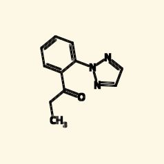 CCC(=O)c1ccccc1-n1nccn1